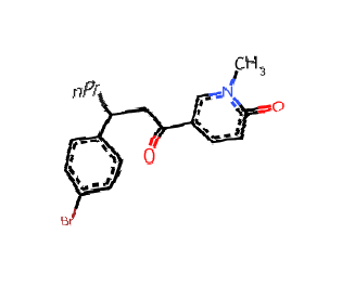 CCCC(CC(=O)c1ccc(=O)n(C)c1)c1ccc(Br)cc1